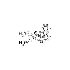 CCCCN(CCCN)CC(=O)N(CC=O)CC(c1ccccc1)c1ccccc1